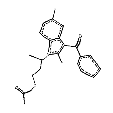 CC(=O)OCCC(C)n1c(C)c(C(=O)c2ccccc2)c2cc(C)ccc21